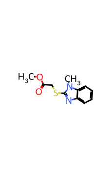 COC(=O)CSc1nc2ccccc2n1C